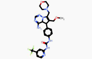 COCC1=C(CN2CCOCC2)N2N=CN=C(N)C2C1c1ccc(NC(=O)Nc2cc(C(F)(F)F)ccn2)cc1